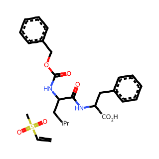 C=CS(C)(=O)=O.CC(C)CC(NC(=O)OCc1ccccc1)C(=O)NC(Cc1ccccc1)C(=O)O